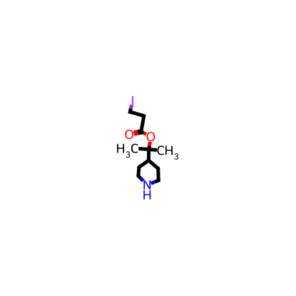 CC(C)(OC(=O)CCI)C1CCNCC1